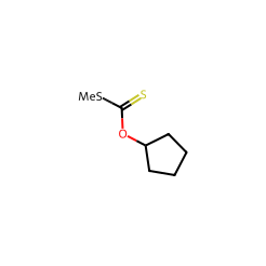 CSC(=S)OC1CCCC1